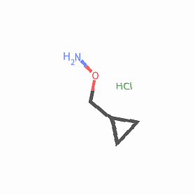 Cl.NOCC1CC1